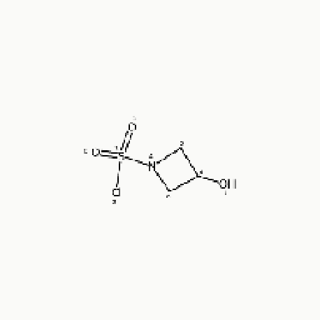 O=S(=O)(Cl)N1CC(O)C1